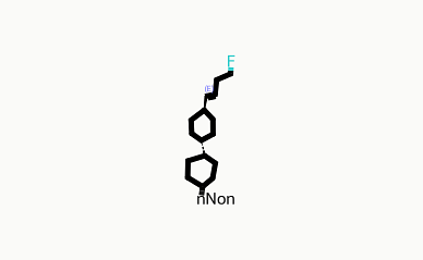 CCCCCCCCCC1CCC([C@H]2CC[C@H](/C=C/CCF)CC2)CC1